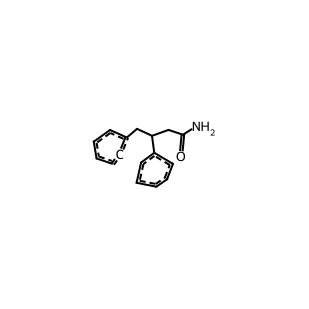 NC(=O)CC(Cc1ccccc1)c1ccccc1